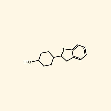 O=C(O)C1CCC(C2Cc3ccccc3O2)CC1